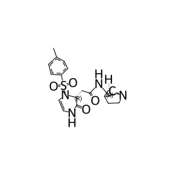 Cc1ccc(S(=O)(=O)N2C=CNC(=O)[C@H]2CC(=O)N[C@H]2CN3CCC2CC3)cc1